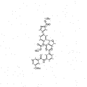 COc1cncc(C(=O)Nc2cccc(-c3nc4c(c(N(C(=O)OC(C)(C)C)c5ccc(-c6cnn(C(=O)OC(C)(C)C)c6)cc5)n3)COC4)c2)c1